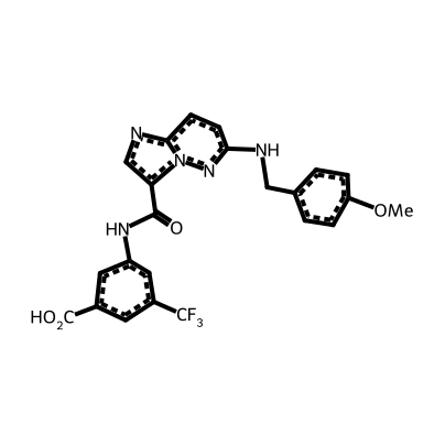 COc1ccc(CNc2ccc3ncc(C(=O)Nc4cc(C(=O)O)cc(C(F)(F)F)c4)n3n2)cc1